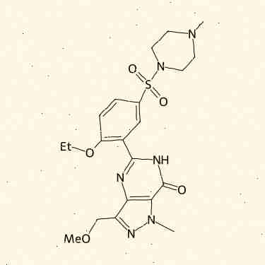 CCOc1ccc(S(=O)(=O)N2CCN(C)CC2)cc1-c1nc2c(COC)nn(C)c2c(=O)[nH]1